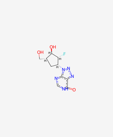 O=c1[nH]cnc2c1nnn2[C@@H]1C[C@H](CO)[C@@H](O)[C@@H]1F